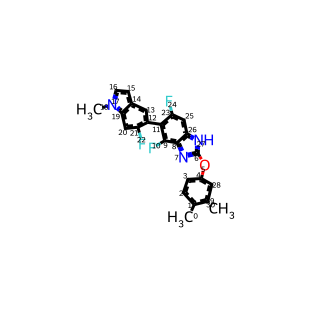 Cc1ccc(Oc2nc3c(F)c(-c4cc5ccn(C)c5cc4F)c(F)cc3[nH]2)cc1C